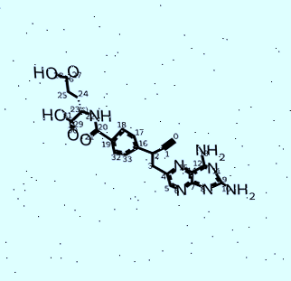 C#CC(Cc1cnc2nc(N)nc(N)c2n1)c1ccc(C(=O)N[C@@H](CCC(=O)O)C(=O)O)cc1